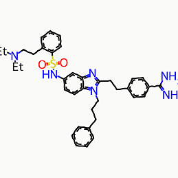 CCN(CC)CCc1ccccc1S(=O)(=O)Nc1ccc2c(c1)nc(CCc1ccc(C(=N)N)cc1)n2CCCc1ccccc1